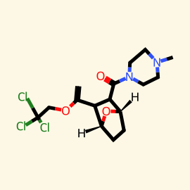 C=C(OCC(Cl)(Cl)Cl)C1C(C(=O)N2CCN(C)CC2)[C@@H]2CC[C@H]1O2